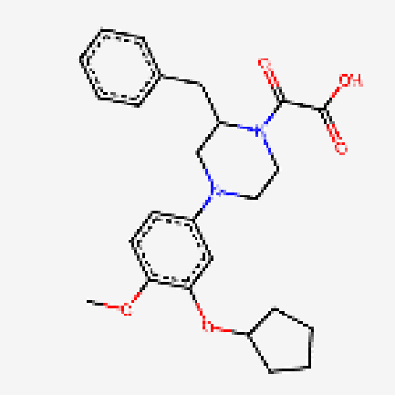 COc1ccc(N2CCN(C(=O)C(=O)O)C(Cc3ccccc3)C2)cc1OC1CCCC1